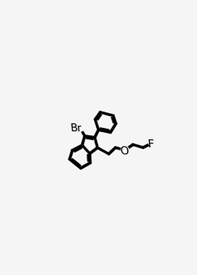 FCCOCCC1C(c2ccccc2)=C(Br)c2ccccc21